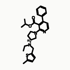 CCN(Cc1ccc(C)s1)[C@@H]1CCN(c2nccc(-c3ccccc3)c2C(=O)OC(C)C)C1